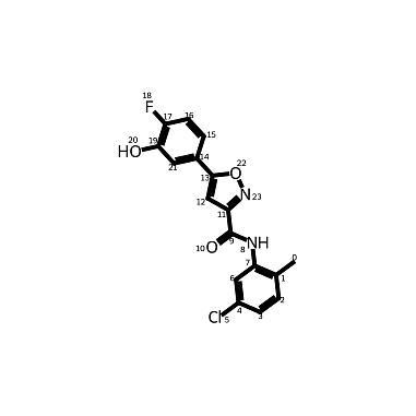 Cc1ccc(Cl)cc1NC(=O)c1cc(-c2ccc(F)c(O)c2)on1